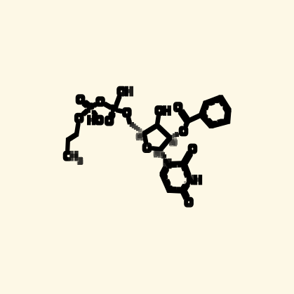 CCCOP(=O)(O)OP(=O)(O)OC[C@H]1O[C@@H](n2ccc(=O)[nH]c2=O)[C@@H](OC(=O)c2ccccc2)C1O